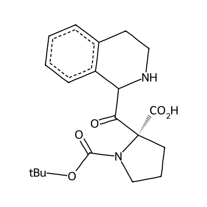 CC(C)(C)OC(=O)N1CCC[C@]1(C(=O)O)C(=O)C1NCCc2ccccc21